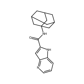 O=C(NC12CC3CC(CC(C3)C1)C2)c1cc2ncccc2[nH]1